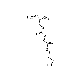 COC(C)COC(=O)C=CC(=O)OCCCO